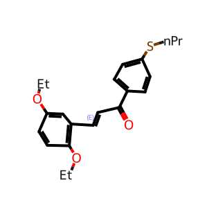 CCCSc1ccc(C(=O)/C=C/c2cc(OCC)ccc2OCC)cc1